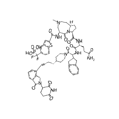 CN1CC[C@H]2CC[C@@H](C(=O)N[C@@H](CCC(N)=O)C(=O)N[C@H](C(=O)N3CCC(CCC#Cc4cccc5c4CN(C4CCC(=O)NC4=O)C5=O)CC3)C3Cc4ccccc4C3)N2C(=O)[C@@H](NC(=O)c2cc3cc(C(F)(F)P(=O)(O)O)ccc3s2)C1